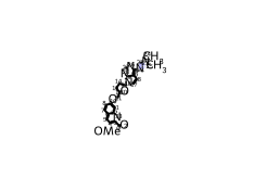 COC(=O)c1ccc2ccc(OCC3CCC(n4ccc5c(/N=C/N(C)C)ncnc54)O3)cc2n1